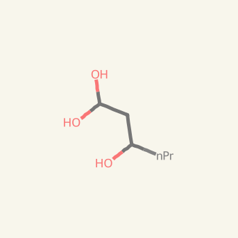 CCCC(O)CC(O)O